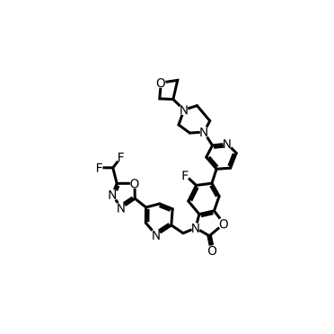 O=c1oc2cc(-c3ccnc(N4CCN(C5COC5)CC4)c3)c(F)cc2n1Cc1ccc(-c2nnc(C(F)F)o2)cn1